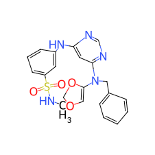 CNS(=O)(=O)c1cccc(Nc2cc(N(Cc3ccccc3)C3=COCO3)ncn2)c1